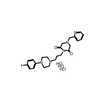 Cl.Cl.Cl.O=C1CN(Cc2ccccn2)CC(=O)N1CCCN1CCN(c2ccc(F)cc2)CC1